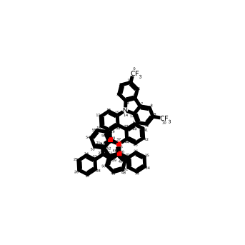 FC(F)(F)c1ccc2c(c1)c1cc(C(F)(F)F)ccc1n2-c1cccc(-c2nc(-c3ccccc3)cc(-c3ccccc3)n2)c1-c1ccccc1-n1c2ccccc2c2ccccc21